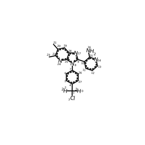 [2H]C([2H])(Cl)c1ccc(-n2c(-c3cccnc3N)nc3cc(C)c(C)nc32)cc1